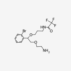 NCCOCC(OCCCNC(=O)C(F)(F)F)c1ccccc1Br